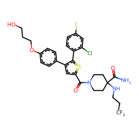 NC(=O)C1(NCCC(F)(F)F)CCN(C(=O)c2cc(-c3ccc(OCCCO)cc3)c(-c3ccc(F)cc3Cl)s2)CC1